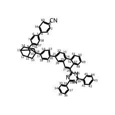 N#Cc1ccc(-c2ccc(C34CC5CC(C3)CC(c3ccc(-c6ccc7c(c6)cc(-c6nc(-c8ccccc8)nc(-c8ccccc8)n6)c6ccccc67)cc3)(C5)C4)cc2)cc1